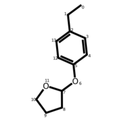 CCc1ccc(OC2CCCO2)cc1